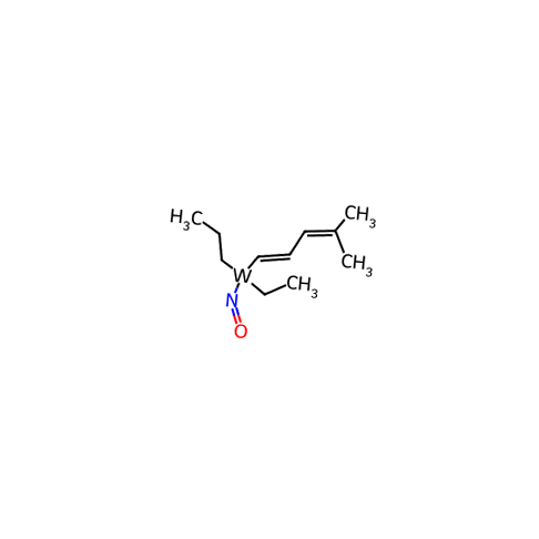 CC[CH2][W]([CH]=CC=C(C)C)([CH2]C)[N]=O